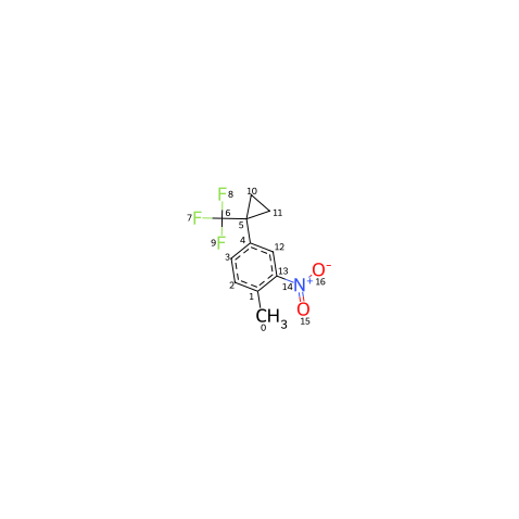 Cc1ccc(C2(C(F)(F)F)CC2)cc1[N+](=O)[O-]